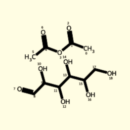 CC(=O)OC(C)=O.O=CC(O)C(O)C(O)C(O)CO